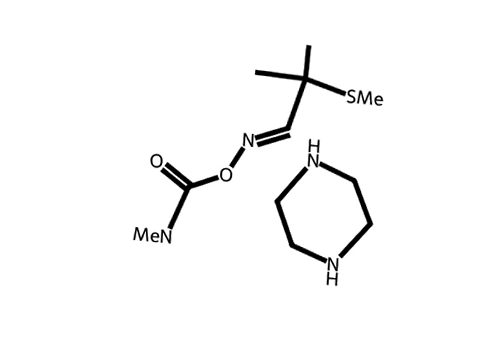 C1CNCCN1.CNC(=O)O/N=C/C(C)(C)SC